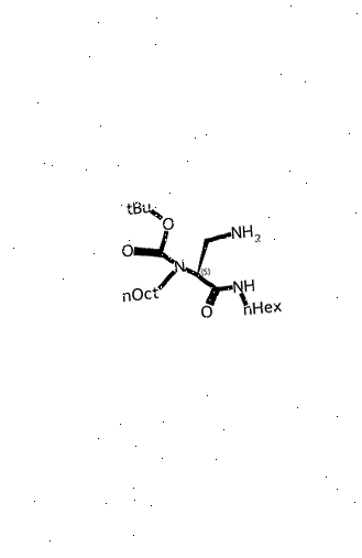 CCCCCCCCN(C(=O)OC(C)(C)C)[C@@H](CN)C(=O)NCCCCCC